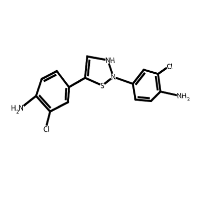 Nc1ccc(C2=CNN(c3ccc(N)c(Cl)c3)S2)cc1Cl